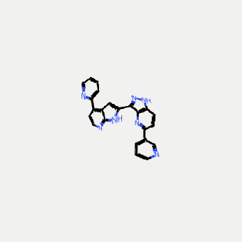 c1ccc(-c2ccnc3[nH]c(-c4n[nH]c5ccc(-c6cccnc6)nc45)cc23)nc1